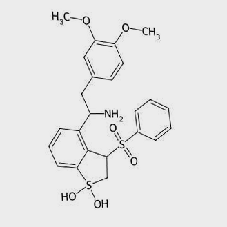 COc1ccc(CC(N)c2cccc3c2C(S(=O)(=O)c2ccccc2)CS3(O)O)cc1OC